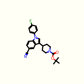 CC(C)(C)OC(=O)N1CCC(c2cn(-c3ccc(F)cc3)c3ccc(C#N)cc23)CC1